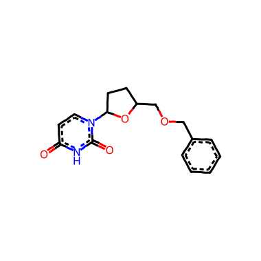 O=c1ccn(C2CCC(COCc3ccccc3)O2)c(=O)[nH]1